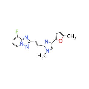 Cc1ccc(-c2cn(C)c(/C=C/c3nc4c(F)cccn4n3)n2)o1